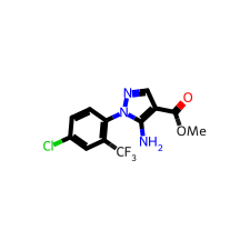 COC(=O)c1cnn(-c2ccc(Cl)cc2C(F)(F)F)c1N